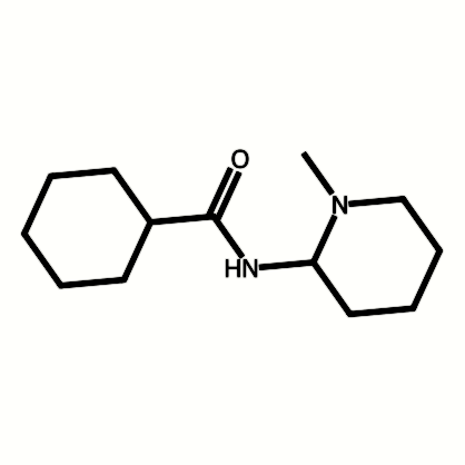 CN1CCCCC1NC(=O)C1CCCCC1